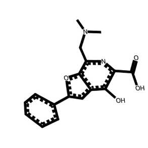 CN(C)Cc1nc(C(=O)O)c(O)c2cc(-c3ccccc3)oc12